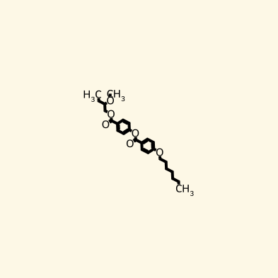 CCCCCCCOc1ccc(C(=O)Oc2ccc(C(=O)OCC(CC)OC)cc2)cc1